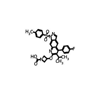 Cc1ccc(S(=O)(=O)n2ncc3cc4c(-c5ccc(F)cc5)c(C(C)C)c(OC5CN(C(=O)O)C5)nc4cc32)cc1